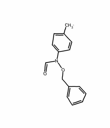 [CH2]c1ccc(N(C=O)OCc2ccccc2)cc1